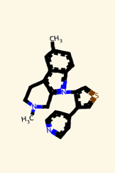 Cc1ccc2c(c1)c1c(n2-c2cscc2-c2ccncc2)CN(C)CC1